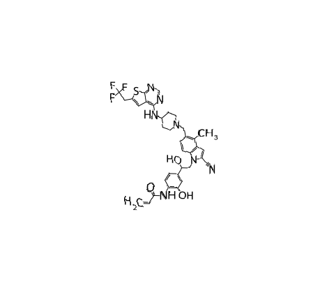 C=CC(=O)Nc1ccc(C(O)Cn2c(C#N)cc3c(C)c(CN4CCC(Nc5ncnc6sc(CC(F)(F)F)cc56)CC4)ccc32)cc1O